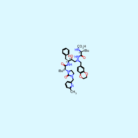 CC[C@H](C)[C@@H](C(=O)N[C@@H](Cc1ccccc1)[C@@H](O)CN(Cc1ccc2c(c1)OCCO2)NC(=O)[C@@H](NC(=O)O)C(C)(C)C)N1CCN(Cc2cccc(C)n2)C1=O